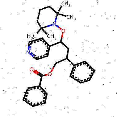 CC1(C)CCCC(C)(C)N1OC(CC(COC(=O)c1ccccc1)c1ccccc1)c1ccncc1